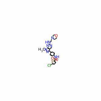 Cn1nc(-c2ccc(NS(=O)(=O)c3ccc(Cl)s3)cc2)c2cnc(NCCN3CCOCC3)nc21